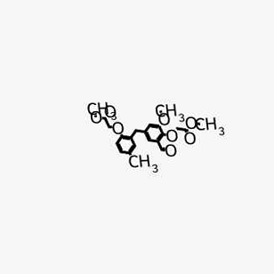 COC(=O)COc1ccc(C)cc1Cc1cc(C=O)c(OCC(=O)OC)c(OC)c1